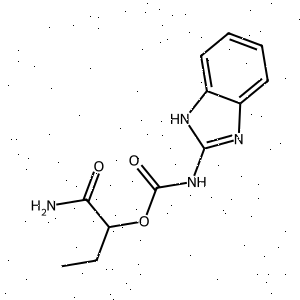 CCC(OC(=O)Nc1nc2ccccc2[nH]1)C(N)=O